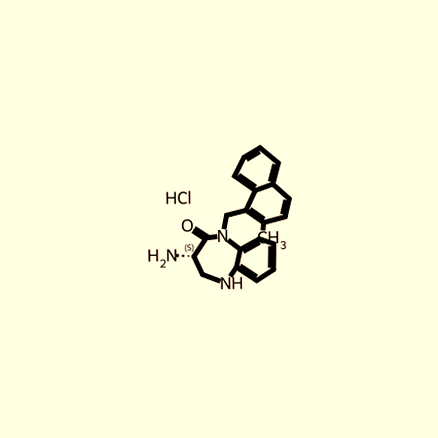 Cc1ccc2ccccc2c1CN1C(=O)[C@@H](N)CNc2ccccc21.Cl